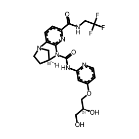 O=C(NCC(F)(F)F)c1ccc2c(n1)N(C(=O)Nc1cc(OC[C@@H](O)CO)ccn1)[C@H]1CCN2C1